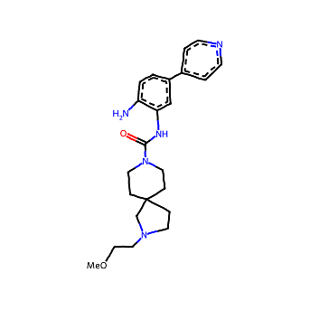 COCCN1CCC2(CCN(C(=O)Nc3cc(-c4ccncc4)ccc3N)CC2)C1